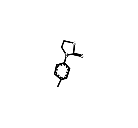 Cc1ccc(N2CCSC2=S)cc1